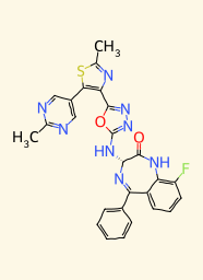 Cc1ncc(-c2sc(C)nc2-c2nnc(N[C@H]3N=C(c4ccccc4)c4cccc(F)c4NC3=O)o2)cn1